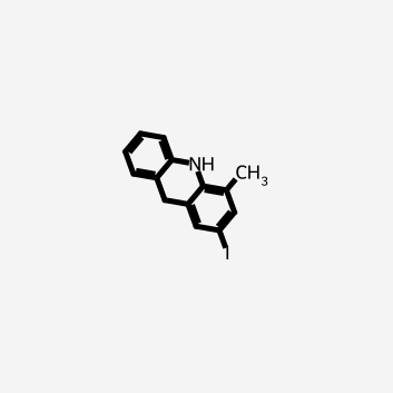 Cc1cc(I)cc2c1Nc1ccccc1C2